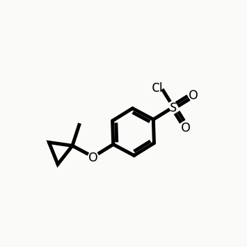 CC1(Oc2ccc(S(=O)(=O)Cl)cc2)CC1